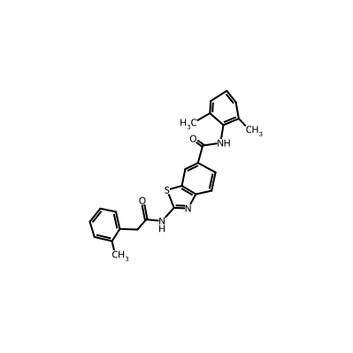 Cc1ccccc1CC(=O)Nc1nc2ccc(C(=O)Nc3c(C)cccc3C)cc2s1